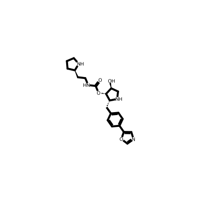 O=C(NCC[C@H]1CCCN1)O[C@@H]1[C@@H](O)CN[C@@H]1Cc1ccc(-c2cnco2)cc1